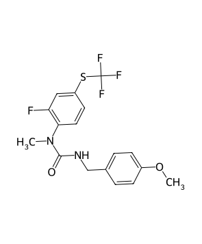 COc1ccc(CNC(=O)N(C)c2ccc(SC(F)(F)F)cc2F)cc1